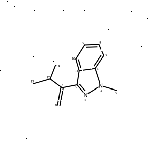 C=C(c1nn(C)c2ccccc12)C(C)C